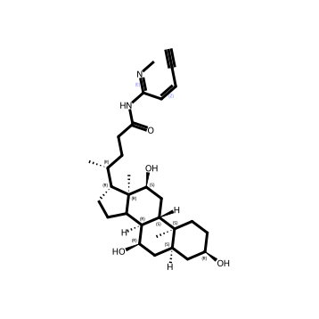 C#C/C=C\C(=N/C)NC(=O)CC[C@@H](C)[C@H]1CCC2[C@@H]3[C@H](O)C[C@@H]4C[C@H](O)CC[C@]4(C)[C@H]3C[C@H](O)[C@@]21C